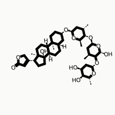 C[C@H]1C[C@@H](O[C@H]2[C@@H](C)C[C@H](O[C@H]3CC[C@@]4(C)[C@H](CC[C@@H]5[C@@H]4CC[C@]4(C)[C@@H](C6=CC(=O)OC6)CC[C@]54O)C3)O[C@@H]2C)O[C@H](O)C1O[C@H]1C[C@H](O)[C@H](O)[C@@H](C)O1